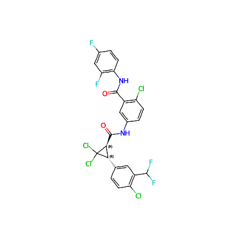 O=C(Nc1ccc(F)cc1F)c1cc(NC(=O)[C@H]2[C@H](c3ccc(Cl)c(C(F)F)c3)C2(Cl)Cl)ccc1Cl